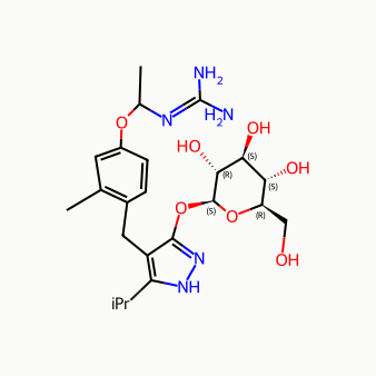 Cc1cc(OC(C)N=C(N)N)ccc1Cc1c(O[C@@H]2O[C@H](CO)[C@@H](O)[C@H](O)[C@H]2O)n[nH]c1C(C)C